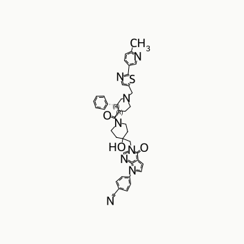 Cc1ccc(-c2ncc(CN3CC[C@@H](C(=O)N4CCC(O)(Cn5cnc6c(ccn6-c6ccc(C#N)cc6)c5=O)CC4)[C@H](c4ccccc4)C3)s2)cn1